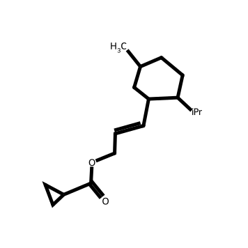 CC1CCC(C(C)C)C(C=CCOC(=O)C2CC2)C1